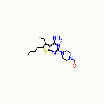 CCCCc1sc2nc(N3CCN(C=O)CC3)nc(N)c2c1CC